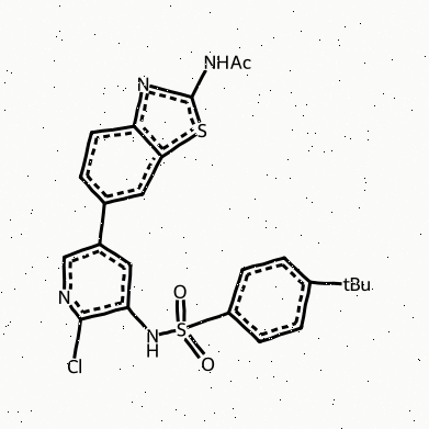 CC(=O)Nc1nc2ccc(-c3cnc(Cl)c(NS(=O)(=O)c4ccc(C(C)(C)C)cc4)c3)cc2s1